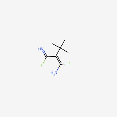 CC(C)(C)/C(C(=N)F)=C(/N)F